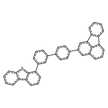 c1cc(-c2ccc(-c3cc4c5c(cccc5c3)-c3ccccc3-4)cc2)cc(-c2cccc3c2sc2ccccc23)c1